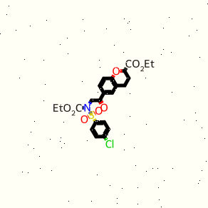 CCOC(=O)C1CCc2cc(C(=O)CN(C(=O)OCC)S(=O)(=O)c3ccc(Cl)cc3)ccc2O1